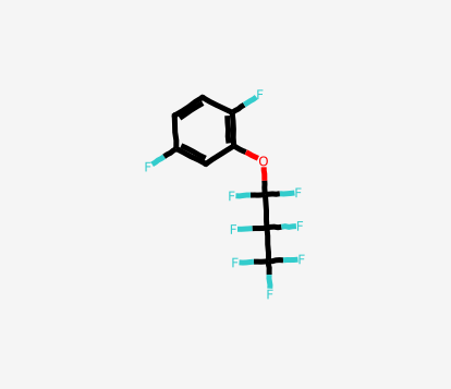 Fc1ccc(F)c(OC(F)(F)C(F)(F)C(F)(F)F)c1